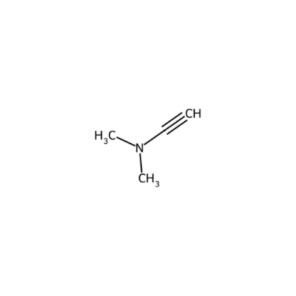 C#CN(C)C